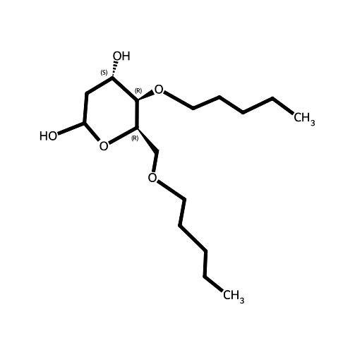 CCCCCOC[C@H]1OC(O)C[C@H](O)[C@H]1OCCCCC